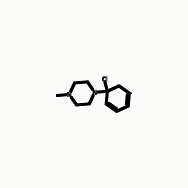 CN1CCN(C2(Cl)C=CC=[C]C2)CC1